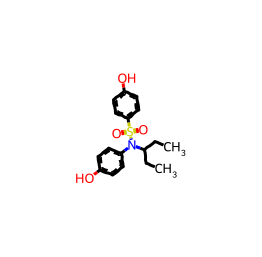 CCC(CC)N(c1ccc(O)cc1)S(=O)(=O)c1ccc(O)cc1